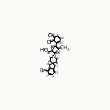 Cc1nc(N2CCC3(CC2)Cc2cccc(Br)c2C3)c(CO)nc1-c1cccc(Cl)c1Cl